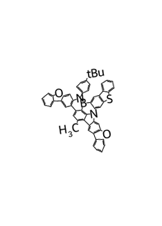 Cc1cc2c3c4c1c1cc5c(cc1n4-c1cc4sc6ccccc6c4cc1B3N(c1ccc(C(C)(C)C)cc1)c1cc3oc4ccccc4c3cc1-2)oc1ccccc15